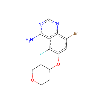 Nc1ncnc2c(Br)cc(OC3CCOCC3)c(F)c12